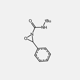 CC(C)(C)NC(=O)N1OC1c1ccccc1